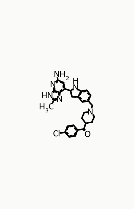 Cc1nc2c(C3Cc4cc(CN5CCC(C(=O)c6ccc(Cl)cc6)CC5)ccc4N3)cc(N)nc2[nH]1